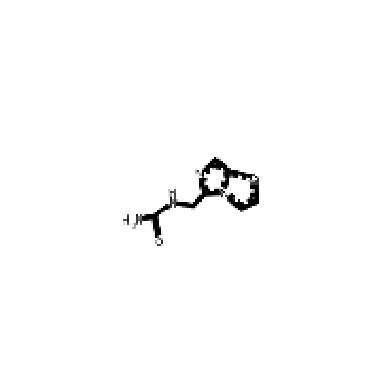 NC(=O)NCc1ncc2sccn12